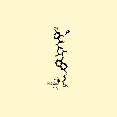 Cc1cc(OC2CC2)c(C(=O)Nc2cc(F)c(Oc3ccnc4cc(OCCN(C)C(=O)OC(C)(C)C)ccc34)c(F)c2)cn1